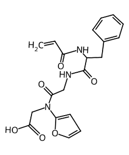 C=CC(=O)NC(Cc1ccccc1)C(=O)NCC(=O)N(CC(=O)O)c1ccco1